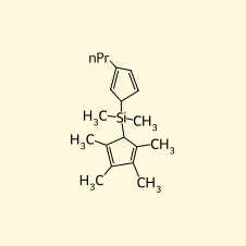 CCCC1=CC([Si](C)(C)C2C(C)=C(C)C(C)=C2C)C=C1